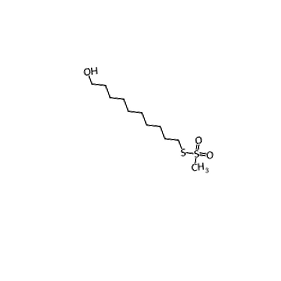 CS(=O)(=O)SCCCCCCCCCCO